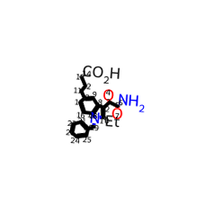 CCc1c(C(=O)C(N)=O)c2cc(CCCC(=O)O)ccc2n1Cc1ccccc1